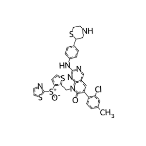 Cc1ccc(-c2cc3cnc(Nc4ccc(C5CNCCS5)cc4)nc3n(Cc3sccc3[S+]([O-])c3nccs3)c2=O)c(Cl)c1